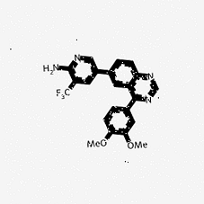 COc1ccc(-c2ncnc3ccc(-c4cnc(N)c(C(F)(F)F)c4)cc23)cc1OC